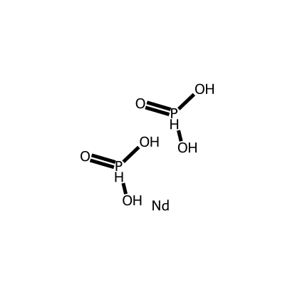 O=[PH](O)O.O=[PH](O)O.[Nd]